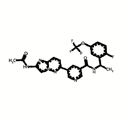 CC(=O)Nc1cn2nc(-c3cncc(C(=O)NC(C)c4cc(OC(F)(F)F)ccc4F)c3)ccc2n1